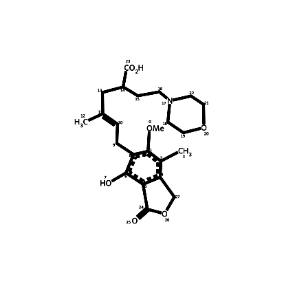 COc1c(C)c2c(c(O)c1C/C=C(\C)CC(CCN1CCOCC1)C(=O)O)C(=O)OC2